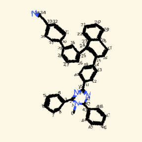 CN1C(c2ccccc2)=NC(c2ccc(-c3ccc4ccccc4c3-c3cccc(-c4ccc(C#N)cc4)c3)cc2)=NC1c1ccccc1